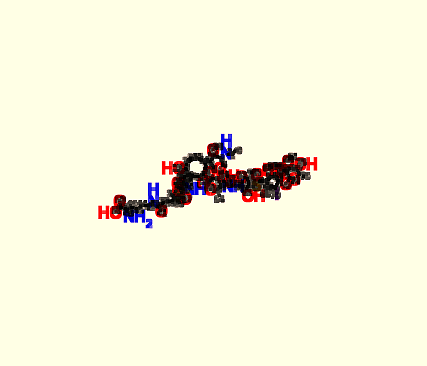 CCN[C@H]1CO[C@@H](O[C@H]2[C@H](O[C@H]3C#C/C=C\C#C[C@]4(O)CC(=O)C(NC(=O)OC)=C3/C4=C\CSSC(C)(C)CCC(=O)NCCCC[C@H](N)C(=O)O)O[C@H](C)[C@@H](NO[C@H]3C[C@H](O)[C@H](SC(=O)c4c(C)c(I)c(O[C@@H]5O[C@@H](C)[C@H](O)[C@@H](OC)[C@H]5O)c(OC)c4OC)[C@@H](C)O3)[C@@H]2O)C[C@@H]1OC